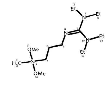 CCN(CC)C(=NCCC[Si](C)(OC)OC)N(CC)CC